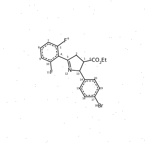 CCOC(=O)C1CC(c2c(F)cccc2F)=NC1c1ccc(Br)cc1